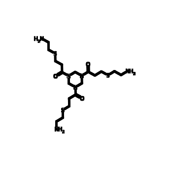 NCCSCCC(=O)N1CN(C(=O)CCSCCN)CN(C(=O)CCSCCN)C1